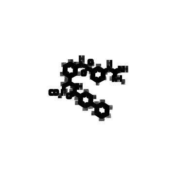 N=C(N)Nc1cccc(S(=O)(=O)Nc2cccc(C(CC(=O)O)NC(=O)c3ccc(-c4ccccc4)cc3)c2)c1